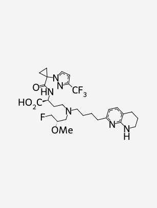 CO[C@H](CF)CN(CCCCc1ccc2c(n1)NCCC2)CC[C@H](NC(=O)C1(n2ccc(C(F)(F)F)n2)CC1)C(=O)O